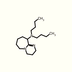 CCCCN(CCCC)C1CCCCN2CCCN=C12